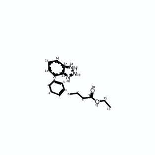 C1=CCCC=C1.CCCC(=O)OCC.c1ccc2[nH]nnc2c1